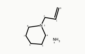 C=CCN1CCCCC1.N